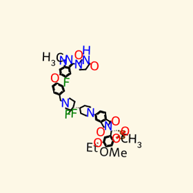 CCOc1cc([C@@H](CS(C)(=O)=O)N2C(=O)c3ccc(N4CCC([C@H]5CCN(Cc6ccc(Oc7cc8c(cc7F)c(N7CCC(=O)NC7=O)nn8C)cc6)CC5(F)F)CC4)cc3C2=O)ccc1OC